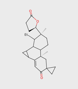 CCC1C2C3CC3C3=CC(=O)C4(CC4)C[C@]3(C)C2CC[C@]1(C)[C@H]1CCC(=O)O1